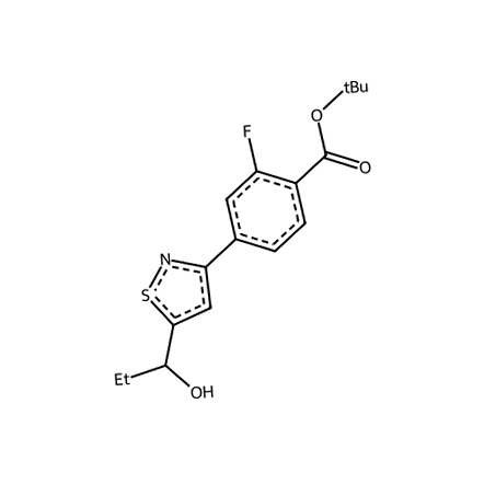 CCC(O)c1cc(-c2ccc(C(=O)OC(C)(C)C)c(F)c2)ns1